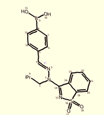 CC(C)CN(/N=C/c1ccc(B(O)O)cc1)C1=NS(=O)(=O)c2ccccc21